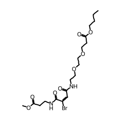 CCCCOC(=O)CCOCCOCCNC(=O)/C=C(/Br)C(=O)NCCC(=O)OC